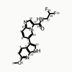 COc1ccc2c(-c3ccc4ncc(C(=O)NCC(F)F)n4c3)c[nH]c2n1